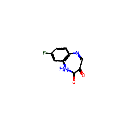 O=c1cnc2ccc(F)cc2[nH]c1=O